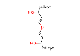 CCCCCCCC(O)C=COC=CC(O)CCCCCCC